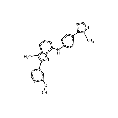 COc1cccc(-n2nc3c(Nc4ccc(-c5ccnn5C)cc4)cccc3c2C)c1